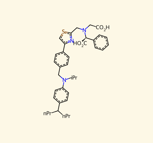 CCCC(CCC)c1ccc(N(Cc2ccc(-c3csc(CN(CC(=O)O)[C@H](C(=O)O)c4ccccc4)n3)cc2)C(C)C)cc1